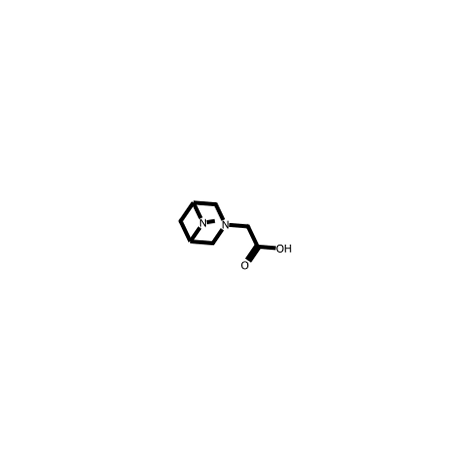 CN1C2CC1CN(CC(=O)O)C2